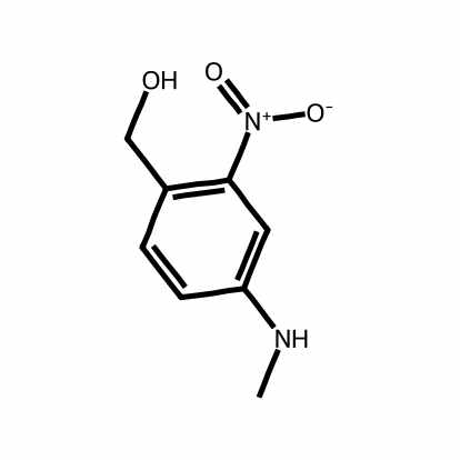 CNc1ccc(CO)c([N+](=O)[O-])c1